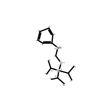 CC(C)[Si](OCNc1ccccc1)(C(C)C)C(C)C